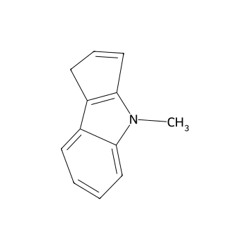 Cn1c2c(c3ccccc31)CC=C2